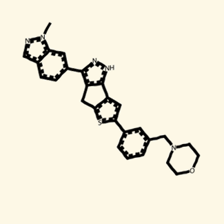 Cn1ncc2ccc(-c3n[nH]c4c3Cc3sc(-c5cccc(CN6CCOCC6)c5)cc3-4)cc21